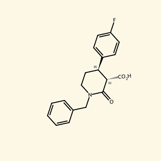 O=C(O)[C@@H]1C(=O)N(Cc2ccccc2)CC[C@H]1c1ccc(F)cc1